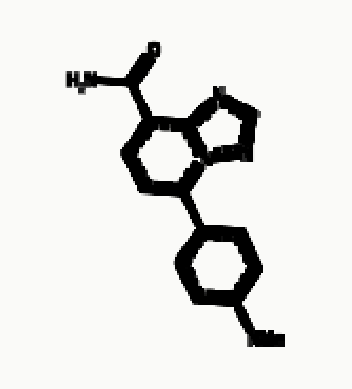 CNc1ccc(-c2ccc(C(N)=O)c3n[c]nn23)cc1